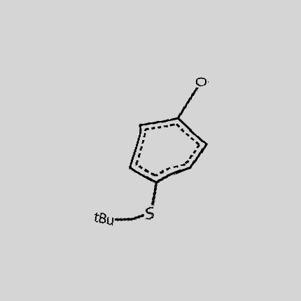 CC(C)(C)Sc1ccc([O])cc1